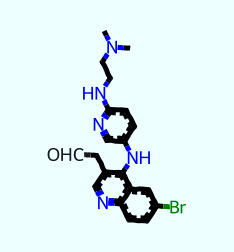 CN(C)CCNc1ccc(Nc2c(CC=O)cnc3ccc(Br)cc23)cn1